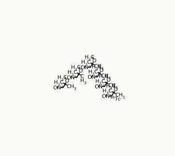 [99Tc].[C-]#[N+]CC(C)(C)OC.[C-]#[N+]CC(C)(C)OC.[C-]#[N+]CC(C)(C)OC.[C-]#[N+]CC(C)(C)OC.[C-]#[N+]CC(C)(C)OC.[C-]#[N+]CC(C)(C)OC